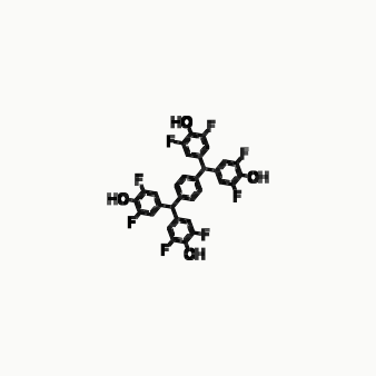 Oc1c(F)cc(C(c2ccc(C(c3cc(F)c(O)c(F)c3)c3cc(F)c(O)c(F)c3)cc2)c2cc(F)c(O)c(F)c2)cc1F